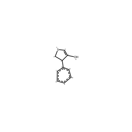 OC1=CSCC1c1ccccc1